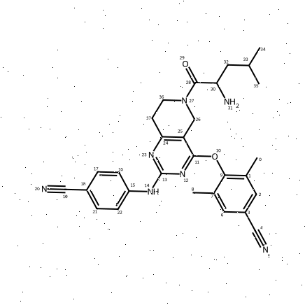 Cc1cc(C#N)cc(C)c1Oc1nc(Nc2ccc(C#N)cc2)nc2c1CN(C(=O)C(N)CC(C)C)CC2